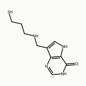 O=c1[nH]cnc2c(CNCCCS)c[nH]c12